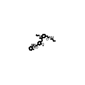 C=CCn1cc(Cc2ccc(C(=O)NS(=O)(=O)c3ccccc3C)cc2OC)c2cc(CC(=O)NCCCC)ccc21